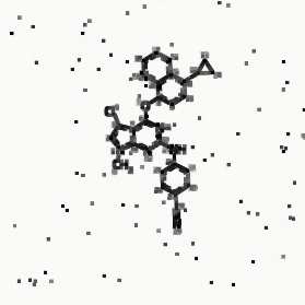 Cn1cc(Cl)c2c(Oc3ccc(C4CC4)c4cccnc34)nc(Nc3ccc(C#N)cc3)nc21